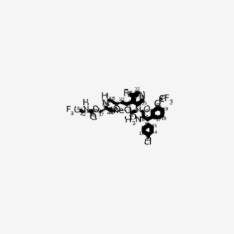 COC(=O)N(C(=O)[C@@H](N)[C@@H](c1ccc(Cl)cc1)c1cccc(OC(F)(F)F)c1)c1cncc(F)c1CC[C@@H]1CN[C@H](COC(=O)NCC(F)(F)F)CO1